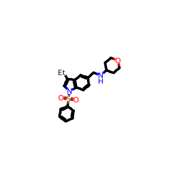 CCc1cn(S(=O)(=O)c2ccccc2)c2ccc(CNC3CCOCC3)cc12